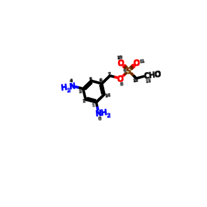 Nc1cc(N)cc(COS(=O)(=O)CC=O)c1